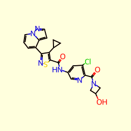 O=C(Nc1cnc(C(=O)N2CC(O)C2)c(Cl)c1)c1snc(-c2cccn3nccc23)c1C1CC1